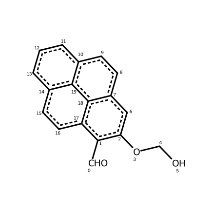 O=Cc1c(OCO)cc2ccc3cccc4ccc1c2c34